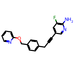 Nc1ncc(C#CCc2ccc(COc3ccccn3)cc2)cc1F